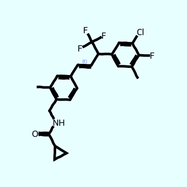 Cc1cc(/C=C/C(c2cc(C)c(F)c(Cl)c2)C(F)(F)F)ccc1CNC(=O)C1CC1